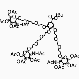 CC(=O)N[C@H]1[C@H](OCCOCCOCCOc2cc(C(=O)OC(C)(C)C)cc(OCCOCCOCCOC3O[C@H](COC(C)=O)[C@H](OC(C)=O)[C@H](OC(C)=O)[C@H]3NC(C)=O)c2OCCOCCOCCO[C@@H]2O[C@H](COC(C)=O)[C@H](OC(C)=O)[C@H](OC(C)=O)[C@H]2NC(C)=O)O[C@H](COC(C)=O)[C@H](OC(C)=O)[C@@H]1OC(C)=O